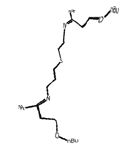 CCCCOCCC(CCC)=NCCCSCCN=C(CCC)CCOCCCC